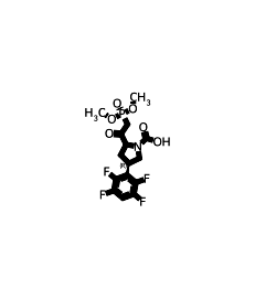 COP(=O)(CC(=O)C1C[C@H](c2c(F)c(F)cc(F)c2F)CN1C(=O)O)OC